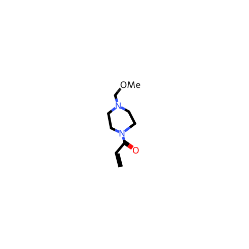 C=CC(=O)N1CCN(COC)CC1